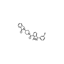 Cn1nc(-c2cccc(F)c2)c2cccc(C(=O)N3CCC(N4Cc5ccccc5C4=O)CC3)c21